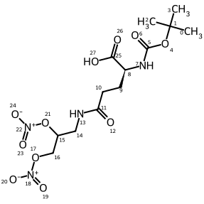 CC(C)(C)OC(=O)N[C@@H](CCC(=O)NCC(CO[N+](=O)[O-])O[N+](=O)[O-])C(=O)O